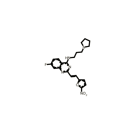 O=[N+]([O-])c1ccc(/C=C/c2nc(NCCCN3CCCC3)c3ccc(F)cc3n2)o1